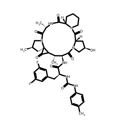 Cc1ccc(NC(=O)N[C@@H](Cc2cc(F)cc(F)c2)C(=O)N[C@@H]2C(=O)N3C[C@H](O)C[C@H]3C(=O)N3CCCC[C@H]3C(=O)N[C@@H](C)C(=O)N3C[C@H](C)C[C@]34C(=O)C4[C@H]2C)cc1